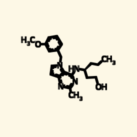 CCC[C@@H](CCO)Nc1nc(C)nc2ccn(Cc3cccc(OC)c3)c12